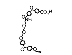 C#CCOc1ccc(C(=O)c2ccc(OCCOCCOCCNC(=O)c3ccc(C(=O)c4ccc(C(=O)O)cc4)cc3)cc2)cc1